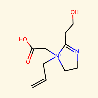 C=CC[N+]1(CC(=O)O)CCN=C1CCO